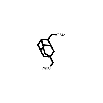 COCC1C2CC3CC1CC(COC)(C3)C2